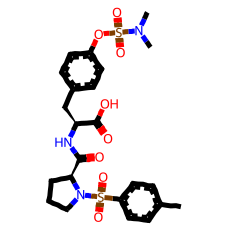 Cc1ccc(S(=O)(=O)N2CCC[C@H]2C(=O)N[C@@H](Cc2ccc(OS(=O)(=O)N(C)C)cc2)C(=O)O)cc1